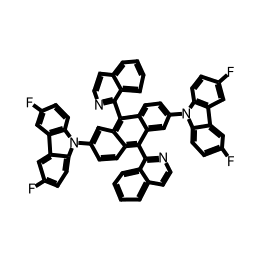 Fc1ccc2c(c1)c1cc(F)ccc1n2-c1ccc2c(-c3nccc4ccccc34)c3cc(-n4c5ccc(F)cc5c5cc(F)ccc54)ccc3c(-c3nccc4ccccc34)c2c1